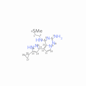 CSCCNc1nc(N)nn2ccc(-c3cc(C4CC4)[nH]n3)c12